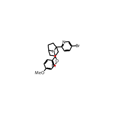 CCOC1CC2CCC(c3ccc(Br)cn3)(C1)N2Cc1ccc(OC)cc1